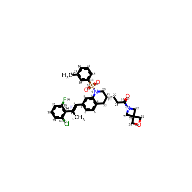 C/C(=C\c1ccc2c(c1)N(S(=O)(=O)c1cccc(C)c1)C[C@H](CCC(=O)N1CC3(COC3)C1)C2)c1c(F)cccc1Cl